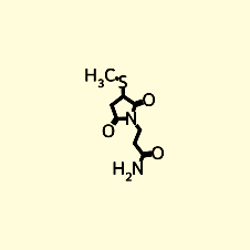 CSC1CC(=O)N(CCC(N)=O)C1=O